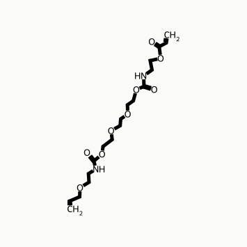 C=CCOCCNC(=O)OCCOCCOCCOC(=O)NCCOC(=O)C=C